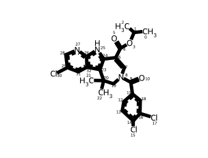 CC(C)OC(=O)C1=CN(C(=O)c2ccc(Cl)c(Cl)c2)CC(C)(C)c2c1[nH]c1ncc(Cl)cc21